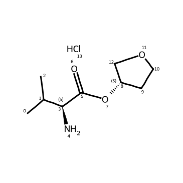 CC(C)[C@H](N)C(=O)O[C@H]1CCOC1.Cl